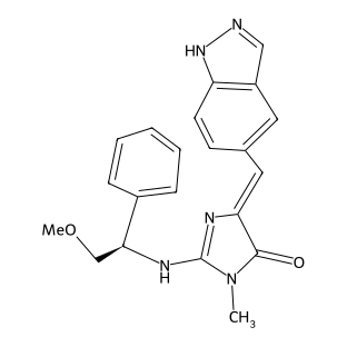 COC[C@H](NC1=N/C(=C\c2ccc3[nH]ncc3c2)C(=O)N1C)c1ccccc1